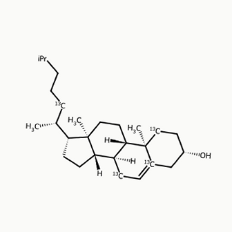 CC([13CH3])CC[13CH2][C@@H](C)[C@H]1CC[C@H]2[C@@H]3[13CH2]C=[13C]4C[C@@H](O)C[13CH2][C@]4(C)[C@H]3CC[C@]12C